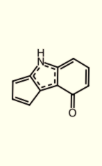 O=C1C=CC=c2[nH]c3c(c21)C=CC=3